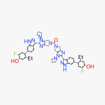 CCc1cc(O)c(F)cc1-c1ccc2c(-c3nc4c(n3N3CCC3)CN(C(=O)N3Cc5nc(-c6n[nH]c7cc(-c8cc(F)c(O)cc8CC)ccc67)n(N6CCC6)c5C3)C4)n[nH]c2c1